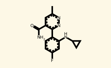 Cc1cc(C(N)=O)c(-c2ccc(F)cc2NC2CC2)nn1